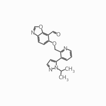 CC(C)n1nccc1-c1cccnc1COc1ccc2ncoc2c1C=O